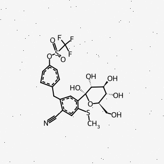 CSc1cc(C#N)c(Cc2ccc(OS(=O)(=O)C(F)(F)F)cc2)cc1[C@]1(O)O[C@H](CO)[C@@H](O)[C@H](O)[C@H]1O